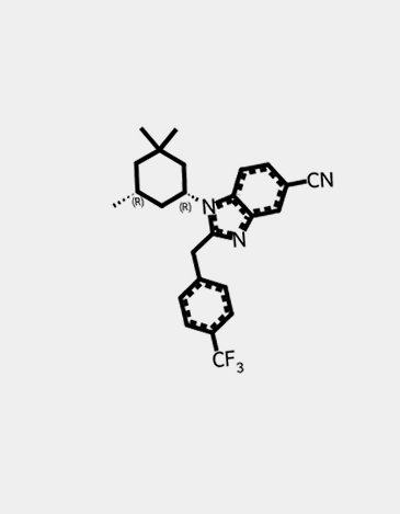 C[C@H]1C[C@@H](n2c(Cc3ccc(C(F)(F)F)cc3)nc3cc(C#N)ccc32)CC(C)(C)C1